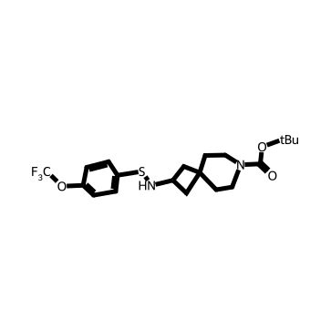 CC(C)(C)OC(=O)N1CCC2(CC1)CC(NSc1ccc(OC(F)(F)F)cc1)C2